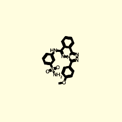 COc1ccc(-c2nnc3c4ccccc4c(Nc4cccc(S(N)(=O)=O)c4)nn23)cc1